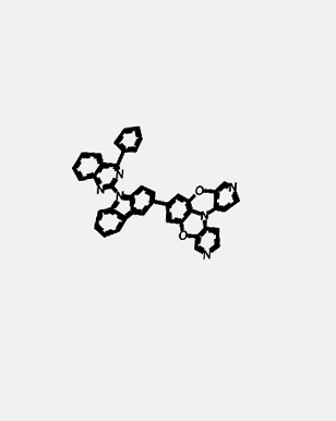 c1ccc(-c2nc(-n3c4ccccc4c4cc(-c5cc6c7c(c5)Oc5cnccc5N7c5ccncc5O6)ccc43)nc3ccccc23)cc1